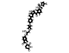 O=C1CC[C@@H](N2Cc3cc(OC[C@@H](O)CN4CC5(C4)CN(c4ccc(-c6cnc7[nH]cc(C(=O)c8c(F)ccc(NS(=O)(=O)N9CC[C@@H](F)C9)c8F)c7c6)cc4)C5)ccc3C2=O)C(=O)N1